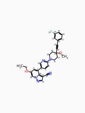 CCOc1cc(-c2ccc(N3CCC(C#Cc4cccc(F)c4)(OC)CC3)nc2)c2c(C#N)cnn2c1